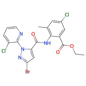 CCOC(=O)c1cc(Cl)cc(C)c1NC(=O)c1cc(Br)nn1-c1ncccc1Cl